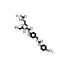 CC(C)[CH]C(=O)N[C@@H](CCCNC(N)=O)C(=O)Nc1ccc(COC(=O)Oc2ccc([N+](=O)[O-])cc2)cc1